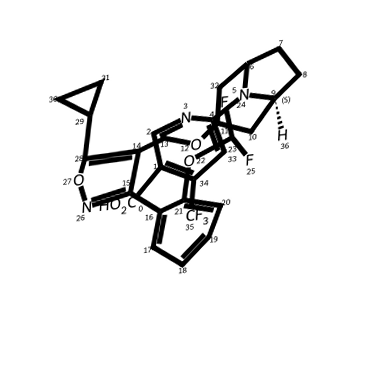 O=C(O)c1cnc(N2C3CC[C@H]2CC(OCc2c(-c4ccccc4OC(F)F)noc2C2CC2)C3)cc1C(F)(F)F